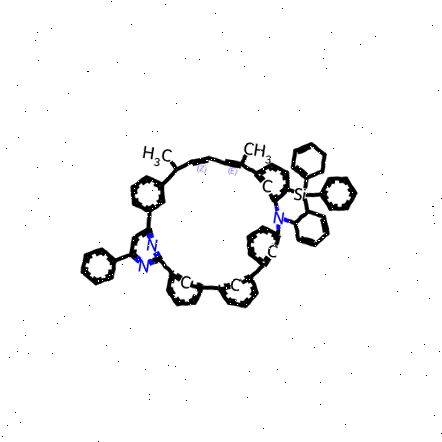 C/C1=C\C=C/C(C)c2cccc(c2)-c2cc(-c3ccccc3)nc(n2)-c2cccc(c2)-c2cccc(c2)-c2cccc(c2)N2c3cc1ccc3[Si](C1=CC=CCC1)(c1ccccc1)C1C=CC=CC12